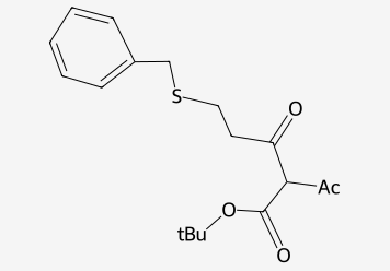 CC(=O)C(C(=O)CCSCc1ccccc1)C(=O)OC(C)(C)C